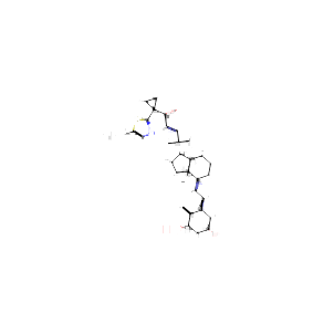 C=C1/C(=C\C=C2/CCC[C@]3(C)[C@@H](C(C)(C)/C=C/[C@H](O)C4(c5ncc(CCCC)s5)CC4)CC[C@@H]23)C[C@@H](O)C[C@@H]1O